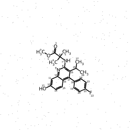 COC(=O)C(C)(C)Nc1nc2cc(O)ccc2c(-c2ccc(F)cc2)c1C(C)C